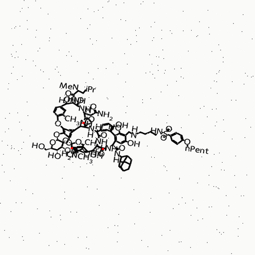 CCCCCOc1ccc(S(=O)(=O)NCCCCNCc2c(O)cc3c(c2O)-c2cc(ccc2O)[C@H]2NC(=O)[C@@H]4NC(=O)[C@H](CC(N)=O)NC(=O)[C@H](NC(=O)[C@@H](CC(C)C)NC)[C@H](O)c5ccc(c(C)c5)Oc5cc4cc(c5O[C@@H]4O[C@H](CO)[C@@H](O)[C@H](O)[C@H]4O[C@H]4C[C@](C)(N)[C@H](O)[C@H](C)O4)Oc4ccc(cc4Cl)[C@@H](O)[C@H](NC2=O)C(=O)N[C@@H]3C(=O)NC2C3CC4CC(C3)CC2C4)cc1